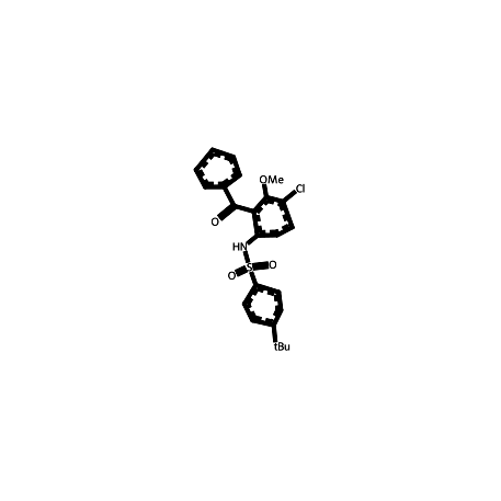 COc1c(Cl)ccc(NS(=O)(=O)c2ccc(C(C)(C)C)cc2)c1C(=O)c1ccccc1